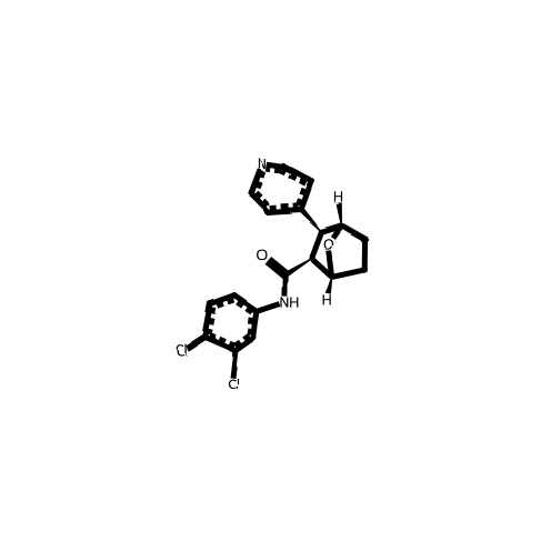 O=C(Nc1ccc(Cl)c(Cl)c1)[C@H]1[C@@H](c2ccncc2)[C@@H]2CC[C@H]1O2